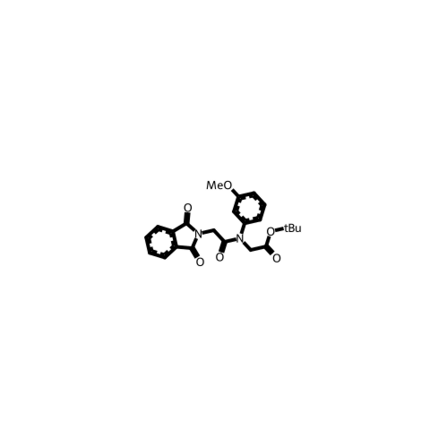 COc1cccc(N(CC(=O)OC(C)(C)C)C(=O)CN2C(=O)c3ccccc3C2=O)c1